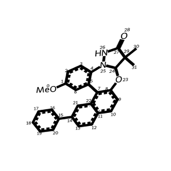 COc1ccc2c(c1)-c1c(ccc3ccc(-c4ccccc4)cc13)OC1N2NC(=O)C1(C)C